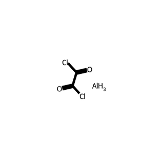 O=C(Cl)C(=O)Cl.[AlH3]